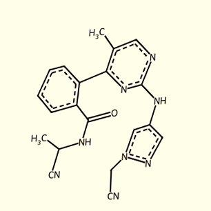 Cc1cnc(Nc2cnn(CC#N)c2)nc1-c1ccccc1C(=O)NC(C)C#N